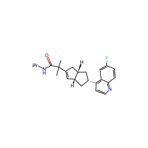 CC(C)NC(=O)C(C)(C)C1=C[C@H]2C[C@@H](c3ccnc4ccc(F)cc34)C[C@H]2C1